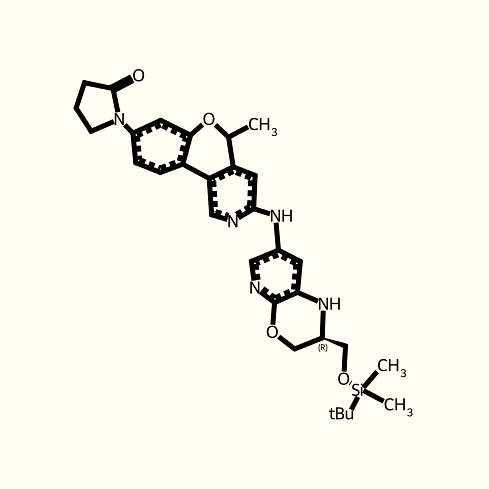 CC1Oc2cc(N3CCCC3=O)ccc2-c2cnc(Nc3cnc4c(c3)N[C@@H](CO[Si](C)(C)C(C)(C)C)CO4)cc21